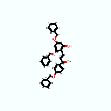 O=C(/C=C/c1c(O)cc(OCc2ccccc2)cc1OCc1ccccc1)c1ccc(OCc2ccccc2)cc1